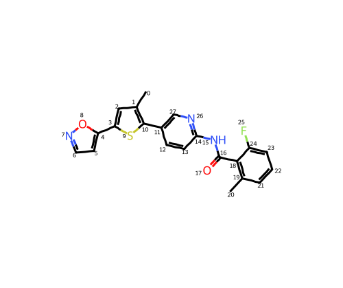 Cc1cc(-c2ccno2)sc1-c1ccc(NC(=O)c2c(C)cccc2F)nc1